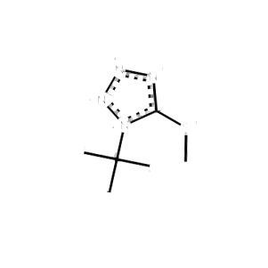 CSc1nnnn1C(C)(C)C